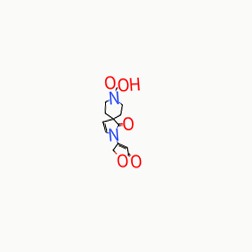 O=C1C=C(N2C=CC3(CCN(C(=O)O)CC3)C2=O)CO1